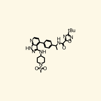 CC(NC(=O)c1nc(C(C)(C)C)no1)c1ccc(-c2ccnc3[nH]nc(NC4CCN(S(C)(=O)=O)CC4)c23)cc1